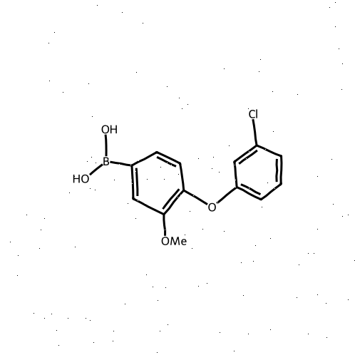 COc1cc(B(O)O)ccc1Oc1cccc(Cl)c1